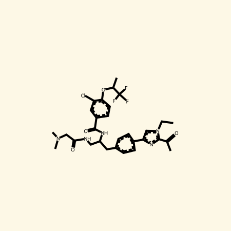 CCn1cc(-c2ccc(CC(CNC(=O)CN(C)C)NC(=O)c3ccc(OC(C)C(F)(F)F)c(Cl)c3)cc2)nc1C(C)=O